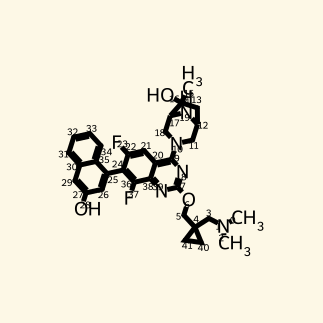 CN(C)CC1(COc2nc(N3CC4CC(C)(O)C(C3)N4)c3cc(F)c(-c4cc(O)cc5ccccc45)c(F)c3n2)CC1